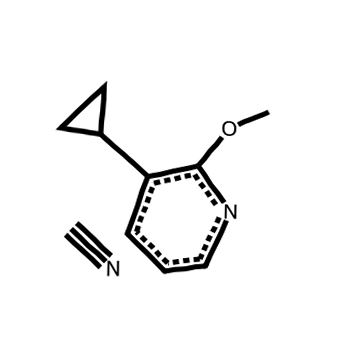 C#N.COc1ncccc1C1CC1